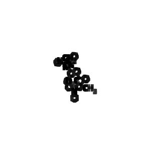 C=CC(/N=C(\N=C(/C)c1ccccc1)c1cccc2c([C@H](C)c3ccccc3-c3cc4c5c6ccccc6ccc5n(-c5ccccc5)c4cc3C)cccc12)c1ccccc1